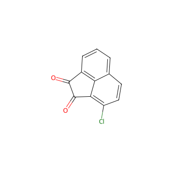 O=C1C(=O)c2c(Cl)ccc3cccc1c23